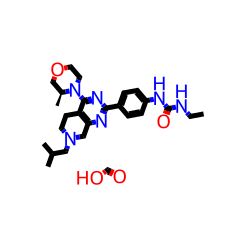 CCNC(=O)Nc1ccc(-c2nc3c(c(N4CCOC[C@@H]4C)n2)CCN(CC(C)C)C3)cc1.O=CO